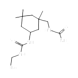 CC(C)(C)CNC(=O)NC1CC(C)(C)CC(C)(CNC(N)=O)C1